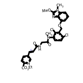 CCOC(=O)c1ccc(/C=C/C(=O)NCC(=O)N(C)c2ccc(Cl)c(COc3cccc4c3nc(OC)n4C)c2Cl)cn1